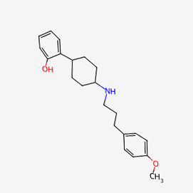 COc1ccc(CCCNC2CCC(c3ccccc3O)CC2)cc1